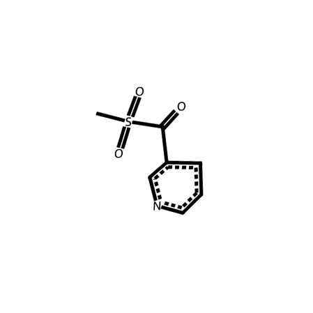 CS(=O)(=O)C(=O)c1cccnc1